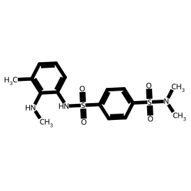 CNc1c(C)cccc1NS(=O)(=O)c1ccc(S(=O)(=O)N(C)C)cc1